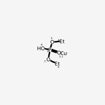 CCOP(=O)(O)OCC.[Cu]